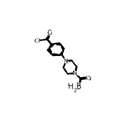 BC(=O)N1CCN(c2ccc(C(=O)Cl)cc2)CC1